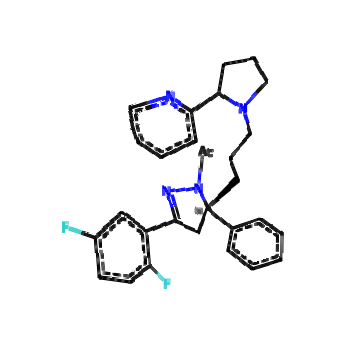 CC(=O)N1N=C(c2cc(F)ccc2F)C[C@@]1(CCCN1CCCC1c1ccccn1)c1ccccc1